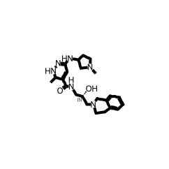 CC1NN=C(NC2CCN(C)C2)C=C1C(=O)NC[C@H](O)CN1CCc2ccccc2C1